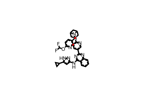 FC(F)Oc1ccc(CN2C3CC2CN(c2ccc(-c4nc(Nc5cc(C6CC6)[nH]n5)c5ccccc5n4)cn2)C3)cn1